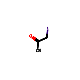 N#CC(=O)CI